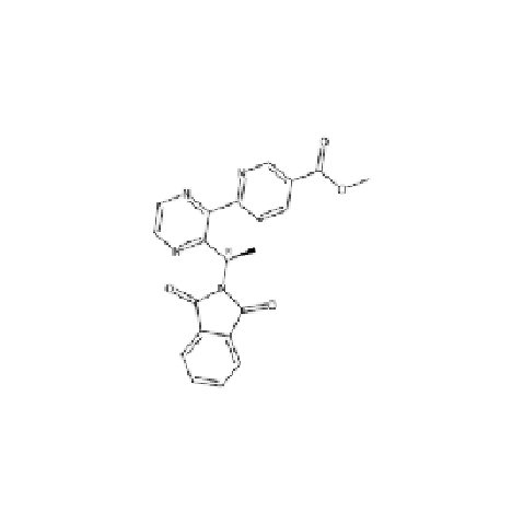 COC(=O)c1ccc(-c2nccnc2[C@@H](C)N2C(=O)c3ccccc3C2=O)nc1